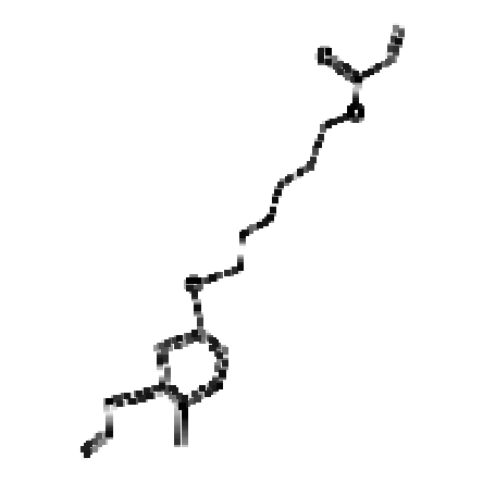 C=C/C=c1/cc(OCCCCCCOC(=O)C=C)ccc1=C